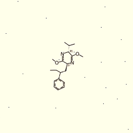 CCC(C[C@@H]1N=C(OC)[C@@H](C(C)C)N=C1OC)c1ccccc1